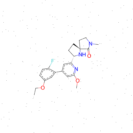 CCOc1ccc(F)c(-c2cc(OC)nc([C@@H]3CC[C@]4(CCN(C)C4=O)N3)c2)c1